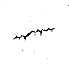 C=CCOC(=O)C#CCNCC(=O)OCCCC